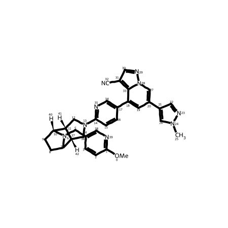 COc1ccc(CN2C3CC[C@@H]2[C@@H]2CN(c4ccc(-c5cc(-c6cnn(C)c6)cn6ncc(C#N)c56)cn4)C[C@H]32)cn1